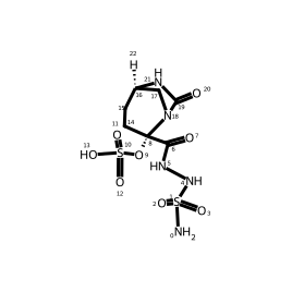 NS(=O)(=O)NNC(=O)[C@@]1(OS(=O)(=O)O)CC[C@@H]2CN1C(=O)N2